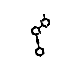 Cc1ccnc(-c2cccc(C#Cc3ccccc3)n2)n1